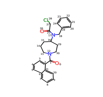 O=C(c1cccc2ccccc12)N1CCCC(N(Cc2ccccc2)C(=O)CCl)CC1